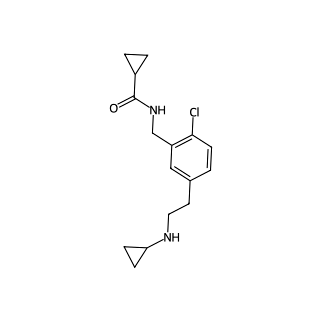 O=C(NCc1cc(CCNC2CC2)ccc1Cl)C1CC1